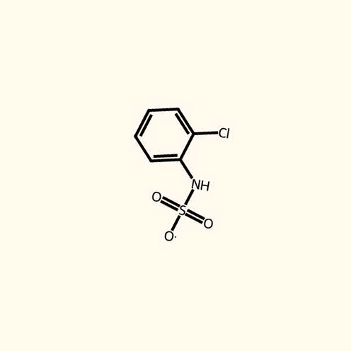 [O]S(=O)(=O)Nc1ccccc1Cl